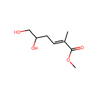 COC(=O)C(C)=CCC(O)CO